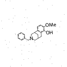 COc1ccc2c(c1O)CC1CC2CN(Cc2ccccc2)C1